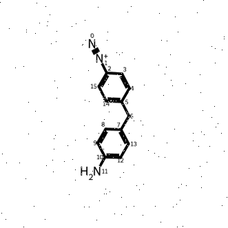 N#[N+]c1ccc(Cc2ccc(N)cc2)cc1